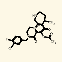 CC1CCNCc2c1c(=O)c(OC(=O)C(F)(F)F)c1n2CCN(Cc2ccc(F)c(Cl)c2)C1=O